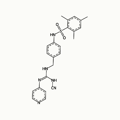 Cc1cc(C)c(S(=O)(=O)Nc2ccc(CNC(=Nc3ccncc3)NC#N)cc2)c(C)c1